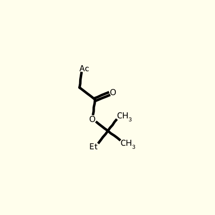 CCC(C)(C)OC(=O)CC(C)=O